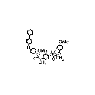 C=C(C(=O)Oc1ccc(Oc2ccc(-c3ccccc3)cc2)cc1)c1ccc(OC(=O)C(C)(C)Oc2ccc(OC)cc2)c(OC)c1